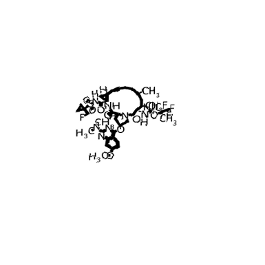 COc1ccc2c(O[C@@H]3C[C@H]4C(=O)N[C@]5(C(=O)NS(=O)(=O)C6(CF)CC6)C[C@H]5C=CCC[C@@H](C)C[C@@H](C)[C@H](NC(=O)OC(C)(C)C(F)(F)F)C(=O)N4C3)nc(N(C)C)nc2c1